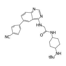 CC(C)(C)NC1CCC(NC(=O)CNc2ncnc3ccc(-c4ccc(C#N)cc4)cc23)CC1